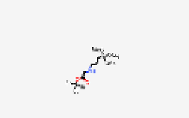 CC[Si](CC)(CC)OC(=O)CNCCC[Si](OC)(OC)OC